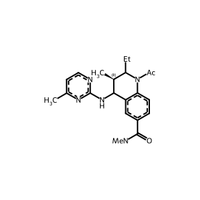 CCC1[C@H](C)C(Nc2nccc(C)n2)c2cc(C(=O)NC)ccc2N1C(C)=O